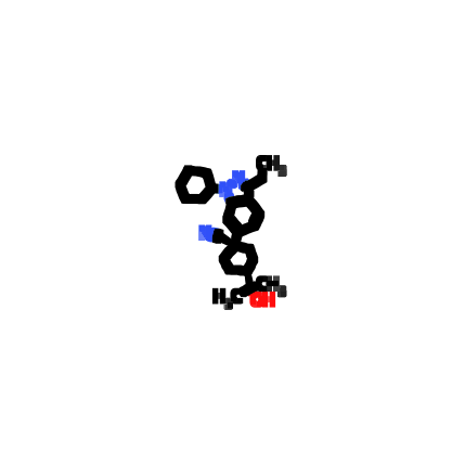 CCc1nn(C2CCCCC2)c2cc([C@]3(C#N)CC[C@@H](C(C)(C)O)CC3)ccc12